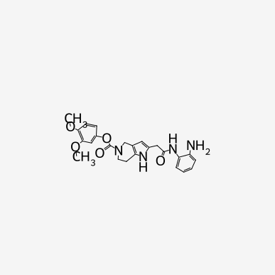 COc1ccc(OC(=O)N2CCc3[nH]c(CC(=O)Nc4ccccc4N)cc3C2)cc1OC